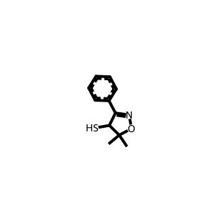 CC1(C)ON=C(c2ccccc2)C1S